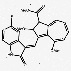 COC(=O)C1C2=CC=CC=C(OC)C2=C(C=C2C(=O)Nc3ccc(F)cc32)C1OC